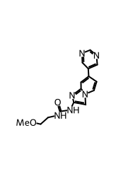 COCCNC(=O)Nc1cn2ccc(-c3cncnc3)cc2n1